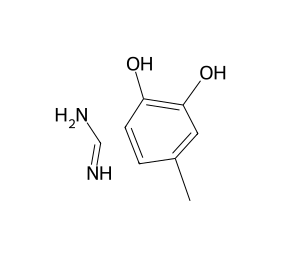 Cc1ccc(O)c(O)c1.N=CN